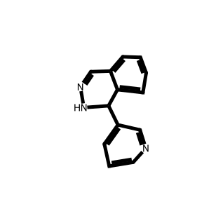 C1=NNC(c2cccnc2)c2ccccc21